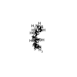 Nc1nc2c(c(=S)[nH]1)NCN2C1OC(COP(O)(=S)OC2C(CO)OC(n3cnc4c(=S)[nH]c(N)nc43)C2O)C(O)C1O